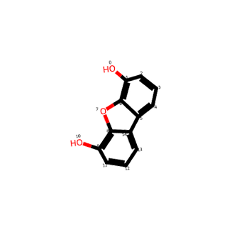 Oc1cccc2c1oc1c(O)cccc12